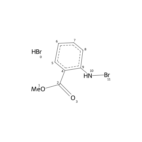 Br.COC(=O)c1ccccc1NBr